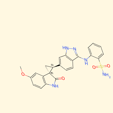 COc1ccc2c(c1)[C@]1(C[C@H]1c1ccc3c(Nc4ccccc4S(N)(=O)=O)n[nH]c3c1)C(=O)N2